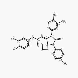 [C-]#[N+]c1ccc(N2C(=S)N(c3ccc(C)cc3)C3(CCC3)C2=NC(=S)Nc2ccc(C#N)c(C(F)(F)F)c2)cc1C